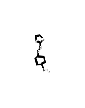 Nc1ccc(N=Nc2nccs2)cc1